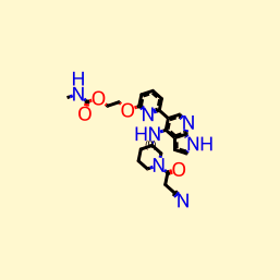 CNC(=O)OCCOc1cccc(-c2cnc3[nH]ccc3c2N[C@@H]2CCCN(C(=O)CC#N)C2)n1